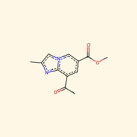 COC(=O)c1cc(C(C)=O)c2nc(C)cn2c1